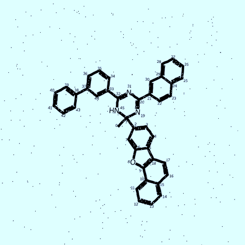 CC1(c2ccc3c(c2)oc2c4ccccc4ccc32)N=C(c2ccc3ccccc3c2)N=C(c2cccc(-c3ccccc3)c2)N1